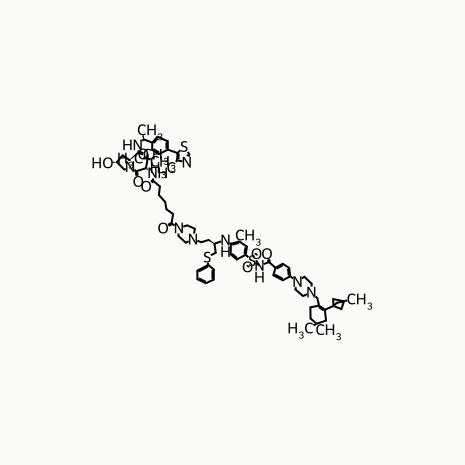 Cc1cc(S(=O)(=O)NC(=O)c2ccc(N3CCN(CC4=C(C56CC(C)(C5)C6)CC(C)(C)CC4)CC3)cc2)ccc1N[C@H](CCN1CCN(C(=O)CCCCCC(=O)N[C@H](C(=O)N2C[C@H](O)C[C@H]2C(=O)N[C@@H](C)c2ccc(-c3scnc3C)cc2)C(C)(C)C)CC1)CSc1ccccc1